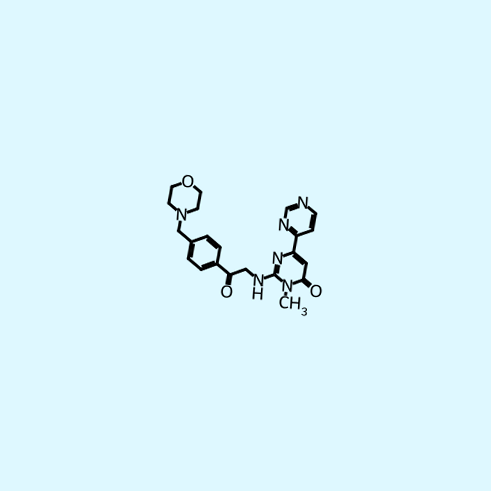 Cn1c(NCC(=O)c2ccc(CN3CCOCC3)cc2)nc(-c2ccncn2)cc1=O